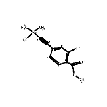 COC(=O)c1ccc(C#C[Si](C)(C)C)cc1I